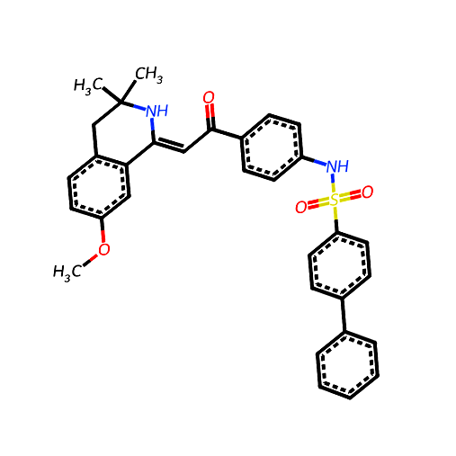 COc1ccc2c(c1)C(=CC(=O)c1ccc(NS(=O)(=O)c3ccc(-c4ccccc4)cc3)cc1)NC(C)(C)C2